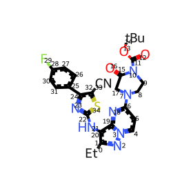 CCc1nn2ccc(N3CCN(C(=O)OC(C)(C)C)C(=O)C3)nc2c1Nc1nc(-c2ccc(F)cc2)c(C#N)s1